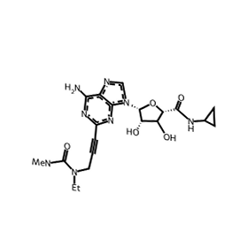 CCN(CC#Cc1nc(N)c2ncn([C@@H]3O[C@H](C(=O)NC4CC4)C(O)[C@@H]3O)c2n1)C(=O)NC